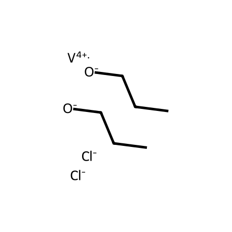 CCC[O-].CCC[O-].[Cl-].[Cl-].[V+4]